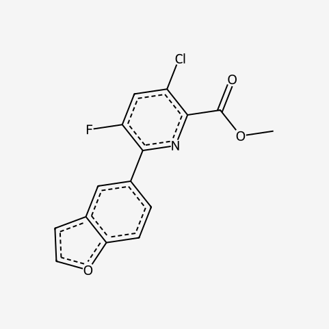 COC(=O)c1nc(-c2ccc3occc3c2)c(F)cc1Cl